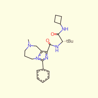 CN1CCCn2c(-c3ccccc3)nc(C(=O)N[C@H](C(=O)NC3CCC3)C(C)(C)C)c2C1